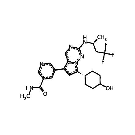 CNC(=O)c1cncc(-c2cc([C@H]3CC[C@H](O)CC3)n3nc(N[C@@H](C)CC(F)(F)F)ncc23)c1